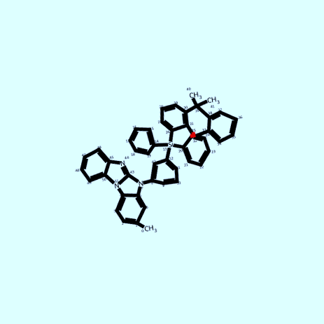 Cc1ccc2c(c1)n(-c1cccc([Si](c3ccccc3)(c3ccccc3)c3cccc4c3Oc3ccccc3C4(C)C)c1)c1nc3ccccc3n21